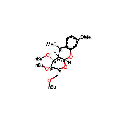 CCCCOC[C@H]1O[C@@H]2Oc3cc(OC)ccc3[C@H](OC)[C@@H]2[C@@H](OCCCC)[C@@H]1OCCCC